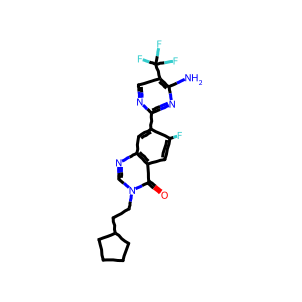 Nc1nc(-c2cc3ncn(CCC4CCCC4)c(=O)c3cc2F)ncc1C(F)(F)F